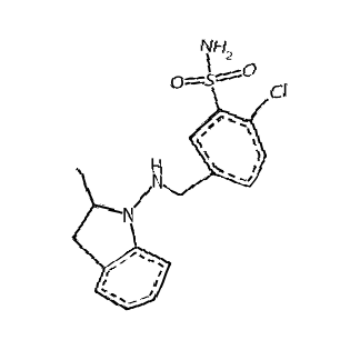 CC1Cc2ccccc2N1NCc1ccc(Cl)c(S(N)(=O)=O)c1